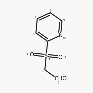 O=CCS(=O)(=O)c1ccccn1